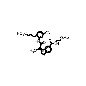 COCCNC(=O)c1ccc2c(c1)[C@]1(CC2)C(C)C1C(=O)Nc1cc(C#N)ccc1CCCC(=O)O